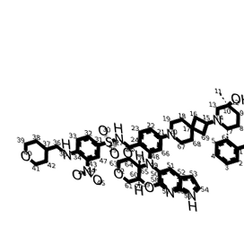 Cc1ccccc1[C@H]1CC[C@](C)(O)CN1C1CC2(CCN(c3ccc(C(=O)NS(=O)(=O)c4ccc(NCC5CCOCC5)c([N+](=O)[O-])c4)c(N4c5cc6cc[nH]c6nc5O[C@H]5COCC[C@@H]54)c3)CC2)C1